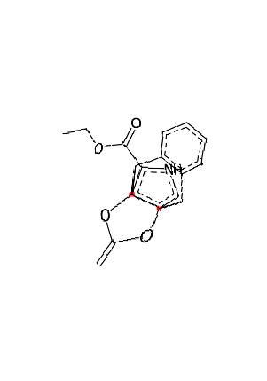 C=C1OC2C3c4ccccc4C(c4c3c[nH]c4C(=O)OCC)C2O1